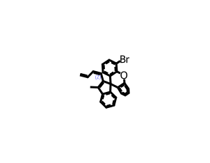 C=C/C=C\C1=C(C)c2ccccc2C12c1ccccc1Oc1c(Br)cccc12